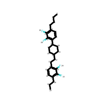 CCCCc1ccc(C2CCC(CCc3ccc(CCC)c(F)c3F)CC2)c(F)c1F